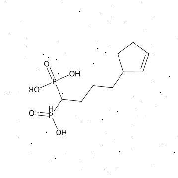 O=[PH](O)C(CCCC1C=CCC1)P(=O)(O)O